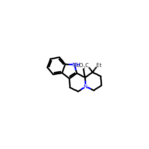 CCOC(=O)C1(CC)CCCN2CCc3c([nH]c4ccccc34)C21C